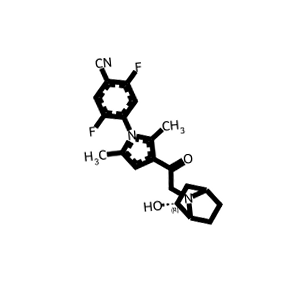 Cc1cc(C(=O)CN2C3CCC2[C@H](O)C3)c(C)n1-c1cc(F)c(C#N)cc1F